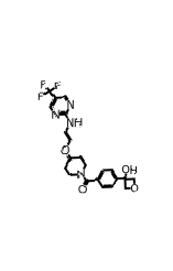 O=C(c1ccc(C2(O)COC2)cc1)N1CCC(OCCNc2ncc(C(F)(F)F)cn2)CC1